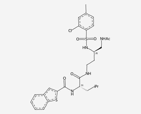 CC(=O)NC[C@@H](CCNC(=O)[C@H](CC(C)C)NC(=O)c1cc2ccccc2s1)NS(=O)(=O)c1ccc(C)cc1Cl